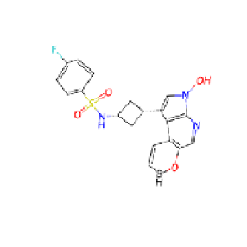 O=S(=O)(N[C@H]1C[C@@H](c2cn(O)c3ncc4c(c32)C=CBO4)C1)c1ccc(F)cc1